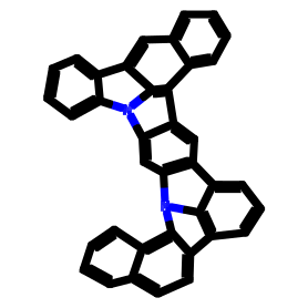 c1ccc2c(c1)cc1c3ccccc3n3c4cc5c(cc4c2c13)c1cccc2c3ccc4ccccc4c3n5c12